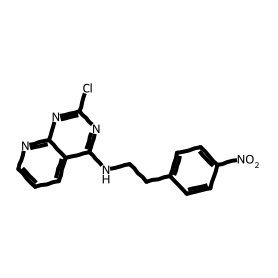 O=[N+]([O-])c1ccc(CCNc2nc(Cl)nc3ncccc23)cc1